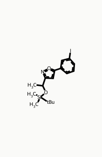 CC(O[Si](C)(C)C(C)(C)C)c1cc(-c2cccc(I)c2)on1